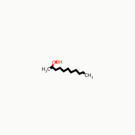 C=C(CCCCCCCCC)OO